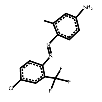 Cc1cc(N)ccc1N=Nc1ccc(Cl)cc1C(F)(F)F